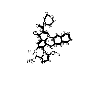 CCc1ncc(C)n1-c1c(C)cc2c(=O)c(C(=O)N3CCOCC3)cn3c2c1Oc1cc2ccccc2cc1-3